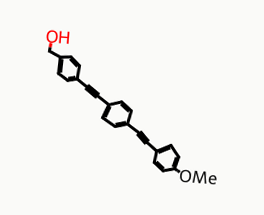 COc1ccc(C#Cc2ccc(C#Cc3ccc(CO)cc3)cc2)cc1